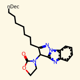 CCCCCCCCCCCCCCCCCC1=Nn2c(nc3ccccc32)C1N1CCOC1=O